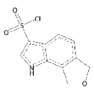 O=S(=O)(Cl)c1c[nH]c2c3c(ccc12)COC3